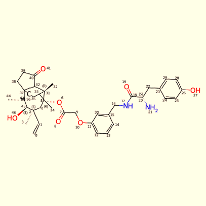 C=C[C@]1(C)C[C@@H](OC(=O)COc2cccc(CNC(=O)[C@@H](N)Cc3ccc(O)cc3)c2)[C@]2(C)C(C)CCC3(CCC(=O)C32)[C@@H](C)[C@@H]1O